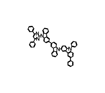 C1=CC2C(C=C1c1ccc3c(c1)c1ccccc1n3-c1nc(-c3ccccc3)cc(-c3ccccc3)n1)c1ccccc1N2c1ccc2c(c1)c1cc(-c3ccccc3)ccc1n2-c1ccccc1